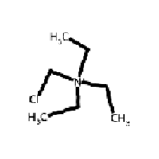 CC[N+](CC)(CC)CCl